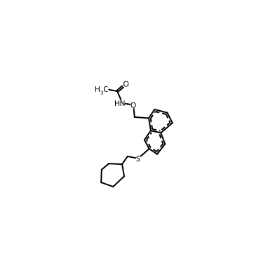 CC(=O)NOCc1cccc2ccc(SCC3CCCCC3)cc12